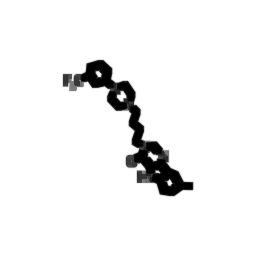 Cc1ccc2[nH]c3c(=O)n(CCCCN4CCN(c5cccc(C(F)(F)F)c5)CC4)cnc3c2c1